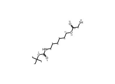 CC(C)(C)OC(=O)NCCCCCCOC(=O)CS